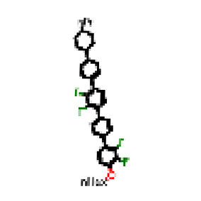 CCCCCCOc1ccc(-c2ccc(-c3ccc(C4=CCC(C5CCC(CCC)CC5)CC4)c(F)c3F)cc2)c(F)c1F